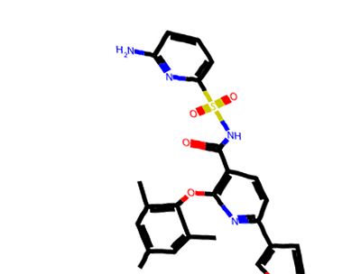 Cc1cc(C)c(Oc2nc(-c3ccoc3)ccc2C(=O)NS(=O)(=O)c2cccc(N)n2)c(C)c1